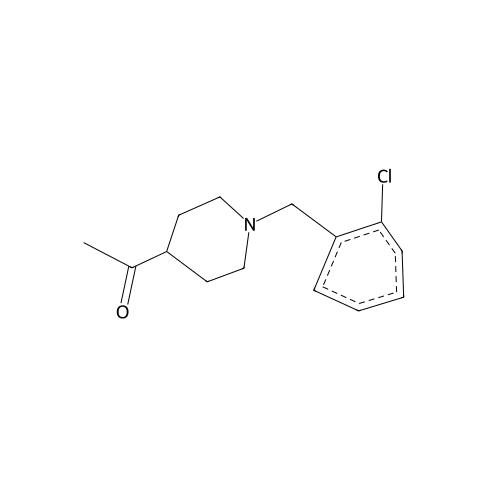 CC(=O)C1CCN(Cc2ccccc2Cl)CC1